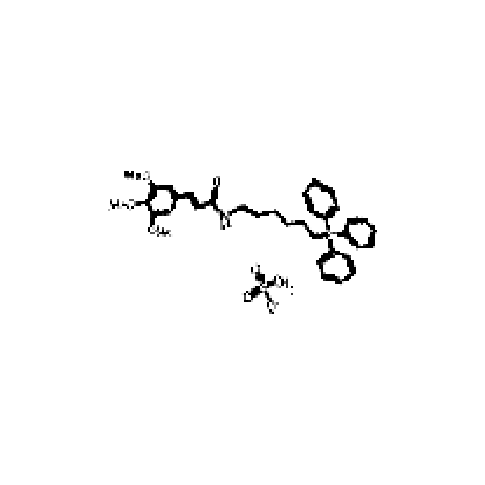 COc1cc(C=CC(=O)NCCCCCC[P+](c2ccccc2)(c2ccccc2)c2ccccc2)cc(OC)c1OC.CS(=O)(=O)[O-]